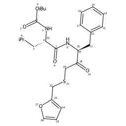 CC(C)COC(=O)N[C@@H](CC(C)C)C(=O)N[C@@H](Cc1ccccc1)C(=O)CSCc1ccco1